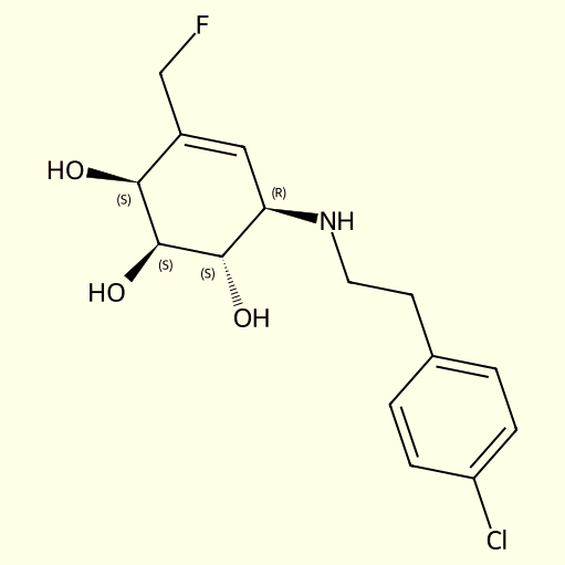 O[C@@H]1[C@@H](O)[C@@H](O)C(CF)=C[C@H]1NCCc1ccc(Cl)cc1